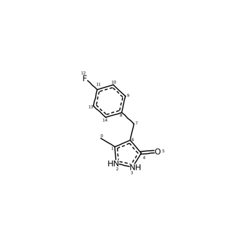 Cc1[nH][nH]c(=O)c1Cc1ccc(F)cc1